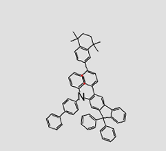 CC1(C)CCC(C)(C)c2cc(-c3ccc(-c4cc5c(cc4N(c4ccccc4)c4ccc(-c6ccccc6)cc4)C(c4ccccc4)(c4ccccc4)c4ccccc4-5)cc3)ccc21